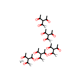 [CH2-]C(=O)C(C(C)=O)C(C)=O.[CH2-]C(=O)C(C(C)=O)C(C)=O.[CH2-]C(=O)C(C(C)=O)C(C)=O.[CH2-]C(=O)C(C(C)=O)C(C)=O.[CH2-]C(=O)C(C(C)=O)C(C)=O.[V+5]